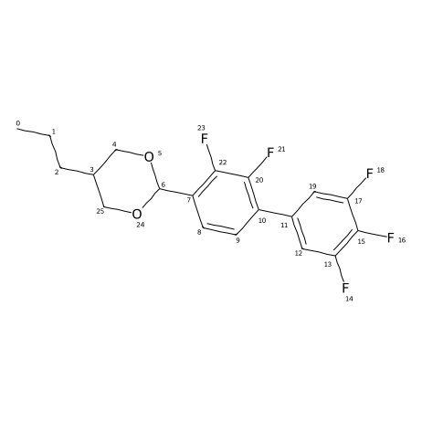 CCCC1COC(c2ccc(-c3cc(F)c(F)c(F)c3)c(F)c2F)OC1